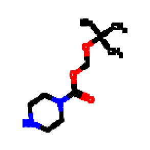 CC(C)(C)[Si](C)(C)OCOC(=O)N1CCNCC1